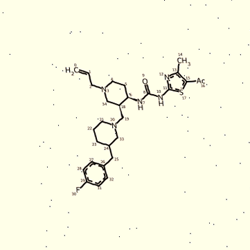 C=CCN1CC[C@@H](NC(=O)Nc2nc(C)c(C(C)=O)s2)[C@@H](CN2CCCC(Cc3ccc(F)cc3)C2)C1